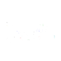 O=C(Nc1ccc(C(=O)N2CCc3ccsc3-c3ccccc32)c(Cl)c1)c1cc(F)ccc1Cl